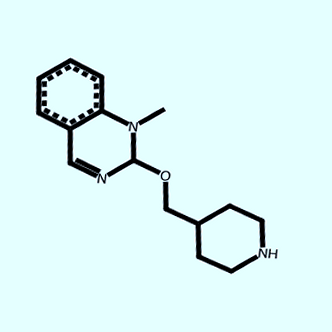 CN1c2ccccc2C=NC1OCC1CCNCC1